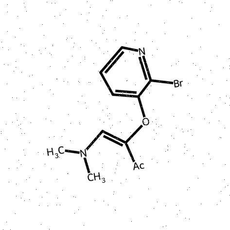 CC(=O)C(=CN(C)C)Oc1cccnc1Br